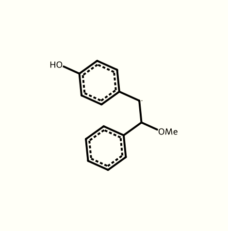 COC([CH]c1ccc(O)cc1)c1ccccc1